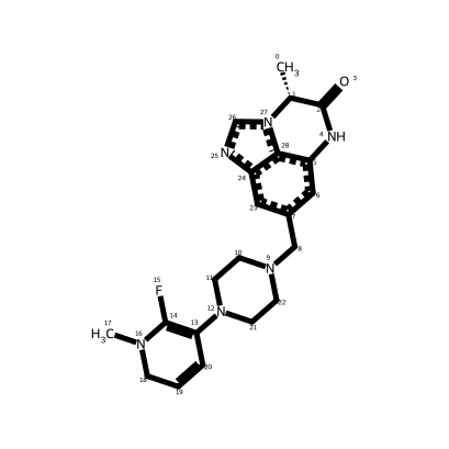 C[C@@H]1C(=O)Nc2cc(CN3CCN(C4=C(F)N(C)CC=C4)CC3)cc3ncn1c23